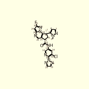 Cn1nccc1[C@@]1(C)C[C@@H](C(=O)Nc2cnc(-n3nccn3)c(Cl)c2)c2cnc3cc(F)nn3c21